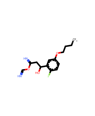 N=COC(=N)CC(O)c1cc(OCCCC(F)(F)F)ccc1F